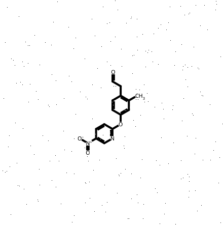 Cc1cc(Oc2ccc([N+](=O)[O-])cn2)ccc1CC=O